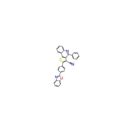 N#Cc1c(-c2ccc(-c3nc4ccccc4o3)cc2)sc2c1c(-c1ccccc1)nc1ccccc12